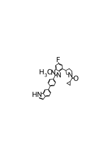 Cn1c(-c2ccc(-c3ccc4cc[nH]c4c3)cc2)nc2c(C3CCN(C(=O)C4CC4)C3)cc(F)cc21